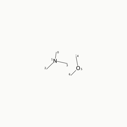 CN(C)C.[CH2]OC